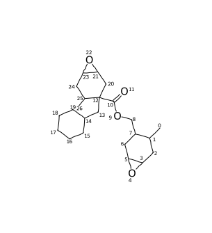 CC1CC2OC2CC1COC(=O)C1(CC2CCCCC2)CC2OC2CC1C